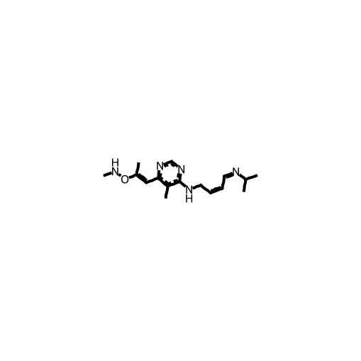 CNO/C(C)=C/c1ncnc(NC/C=C\C=N/C(C)C)c1C